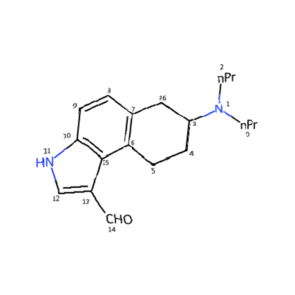 CCCN(CCC)C1CCc2c(ccc3[nH]cc(C=O)c23)C1